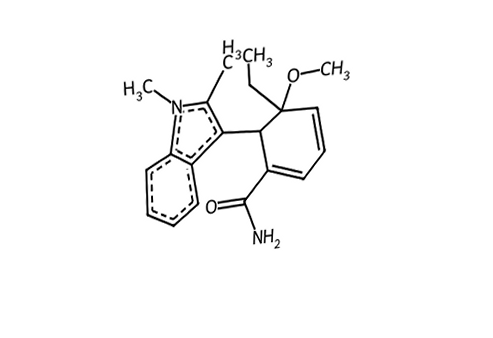 CCC1(OC)C=CC=C(C(N)=O)C1c1c(C)n(C)c2ccccc12